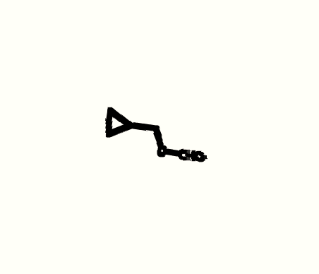 O=[C]OCC1CC1